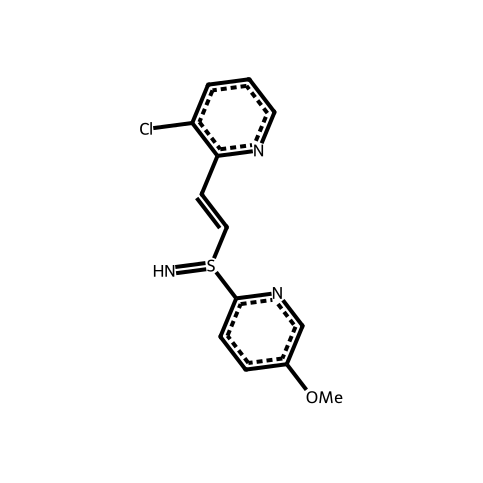 COc1ccc(S(=N)/C=C/c2ncccc2Cl)nc1